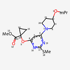 CCCOC1CCN(c2cc(OC3(C(=O)OC)CC3)nc(SC)n2)CC1